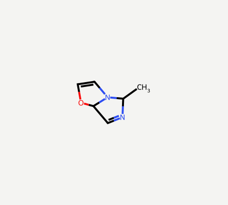 CC1N=CC2OC=CN12